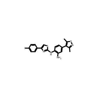 Cc1noc(C)c1-c1ccc(Nc2nc(-c3ccc(I)cc3)cs2)c(N)c1